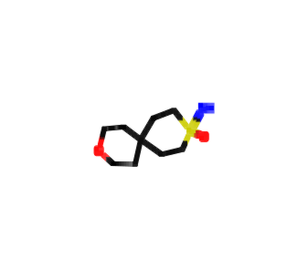 N=S1(=O)CCC2(CCOCC2)CC1